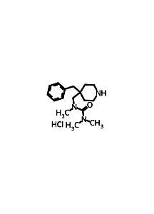 CN(C)C(=O)N(C)CC1(Cc2ccccc2)CCNCC1.Cl